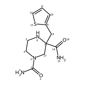 NC(=O)N1CCNC(Cc2cccs2)(C(N)=O)C1